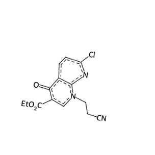 CCOC(=O)c1cn(CCC#N)c2nc(Cl)ccc2c1=O